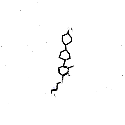 C/C=C/COc1ccc(C2CCC(C3CCC(C)CC3)CC2)c(F)c1F